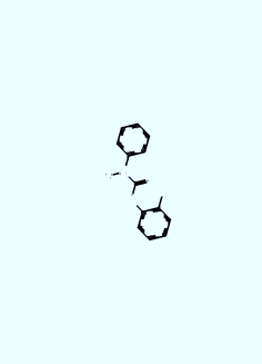 NN(C(=O)Oc1ccccc1I)c1ccccc1